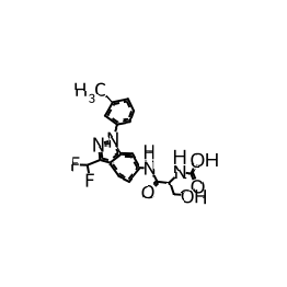 Cc1cccc(-n2nc(C(F)F)c3ccc(NC(=O)C(CO)NC(=O)O)cc32)c1